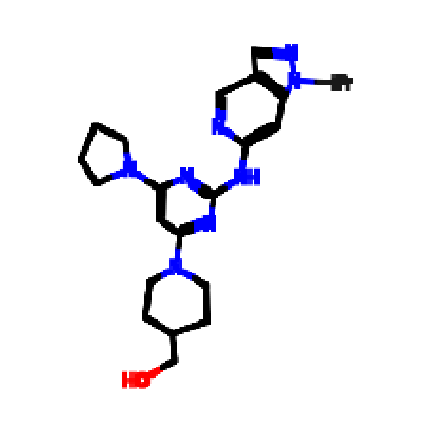 CC(C)n1ncc2cnc(Nc3nc(N4CCCC4)cc(N4CCC(CO)CC4)n3)cc21